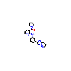 O=C(c1cccnc1Nc1cccc(-c2cn3ncccc3n2)c1)N1CCCC1